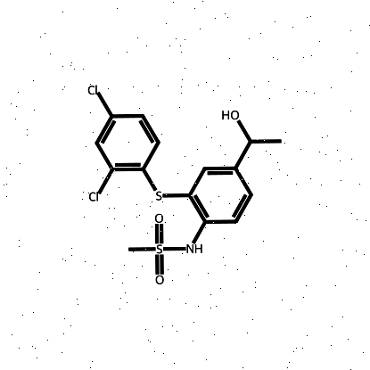 CC(O)c1ccc(NS(C)(=O)=O)c(Sc2ccc(Cl)cc2Cl)c1